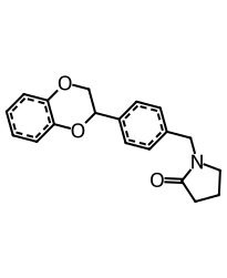 O=C1CCCN1Cc1ccc(C2COc3ccccc3O2)cc1